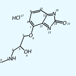 CC(C)NCC(O)COc1cccc2c1=NC(=O)N=2.Cl